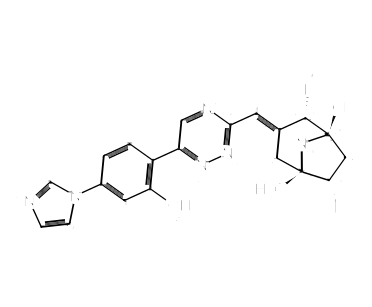 C[C@]12C/C(=C\c3ncc(-c4ccc(-n5ccnc5)cc4O)nn3)[C@H](F)[C@](C)(C[C@@H]1F)N2